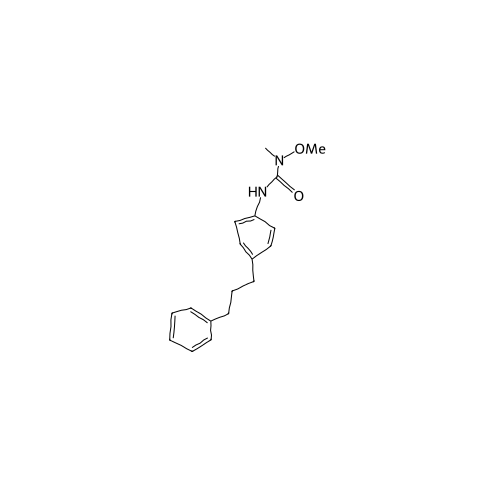 CON(C)C(=O)Nc1ccc(CCCc2ccccc2)cc1